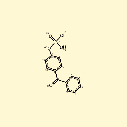 O=C(c1ccccc1)c1ccc(OP(=O)(O)O)cc1